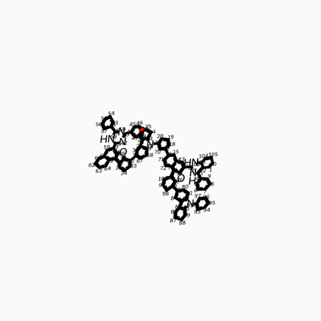 C1=CC2=C(c3ccccc3)NC(c3cc4cc(-c5cccc(-n6c7ccccc7c7cc(-c8cccc9c8oc8c(C%10N=C(c%11ccccc%11)N=C(c%11ccccc%11)N%10)cc%10ccccc%10c89)ccc76)c5)ccc4c4c3oc3c(-c5ccc6c(c5)c5ccccc5n6-c5ccccc5)cccc34)NC2C=C1